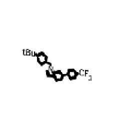 CC(C)(C)c1ccc(Cn2ccc3ccc(-c4ccc(C(F)(F)F)cc4)cc32)cc1